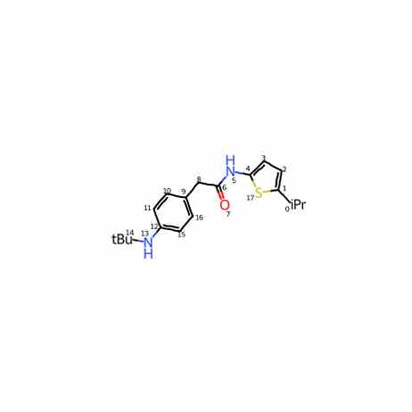 CC(C)c1ccc(NC(=O)Cc2ccc(NC(C)(C)C)cc2)s1